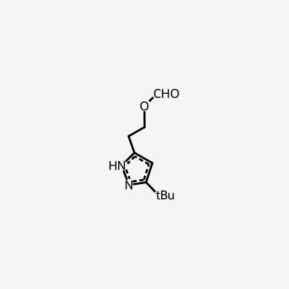 CC(C)(C)c1cc(CCOC=O)[nH]n1